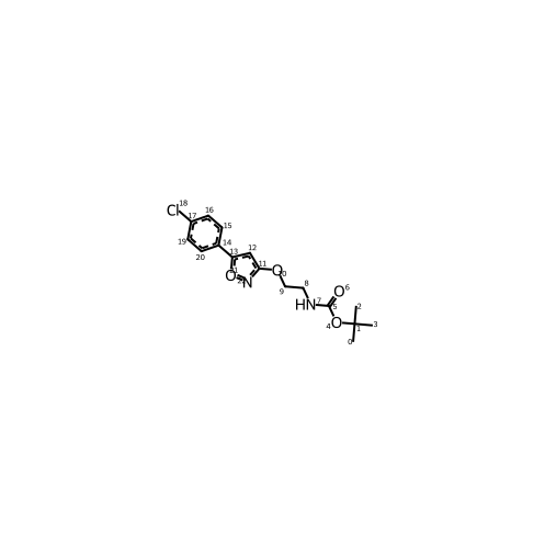 CC(C)(C)OC(=O)NCCOc1cc(-c2ccc(Cl)cc2)on1